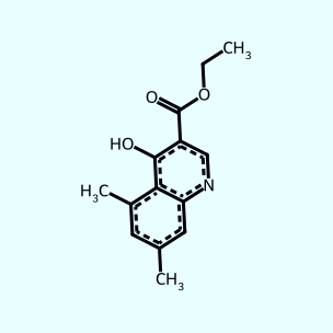 CCOC(=O)c1cnc2cc(C)cc(C)c2c1O